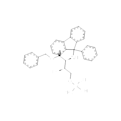 C[C@H](CO[Si](C)(C)C(C)(C)C)[C@H](NC1(c2ccccc2)c2ccccc2-c2ccccc21)C(=O)OCc1ccccc1